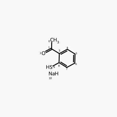 CC(=O)c1ccccc1S.[NaH]